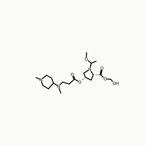 COC(C)N1C[C@@H](OC(=O)CCN(C)C2CCN(C)CC2)C[C@H]1C(=O)OCO